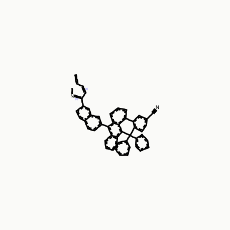 C=C/C=C\C(=N/C)c1ccc2ccc(-c3c4ccccc4c4c5c(cccc35)-c3cc(C#N)ccc3C4(c3ccccc3)c3ccccc3)cc2c1